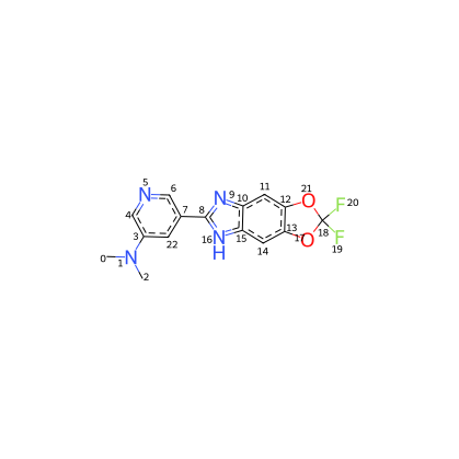 CN(C)c1cncc(-c2nc3cc4c(cc3[nH]2)OC(F)(F)O4)c1